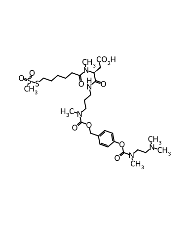 CN(C)CCN(C)C(=O)Oc1ccc(COC(=O)N(C)CCCNC(=O)[C@H](CC(=O)O)N(C)C(=O)CCCCCSS(C)(=O)=O)cc1